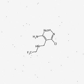 Nc1ncnc(Cl)c1CNCC(F)(F)F